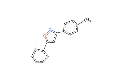 Cc1ccc(-c2cc(-c3ccccc3)on2)cc1